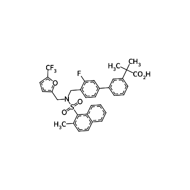 Cc1ccc2ccccc2c1S(=O)(=O)N(Cc1ccc(C(F)(F)F)o1)Cc1ccc(-c2cccc(C(C)(C)C(=O)O)c2)cc1F